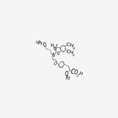 CCCOCCCN(CCOc1ccc(CC(OCC)C(=O)O)cc1)C(=O)Oc1cc(C)c(C)cc1C